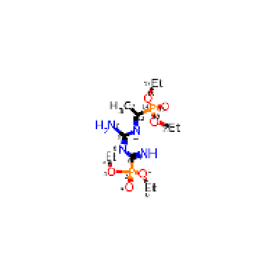 CCOP(=O)(OCC)C(=N)/N=C(N)\N=C(/C)P(=O)(OCC)OCC